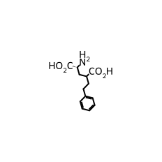 N[C@H](CC(CCc1ccccc1)C(=O)O)C(=O)O